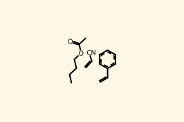 C=CC#N.C=Cc1ccccc1.CCCCOC(C)=O